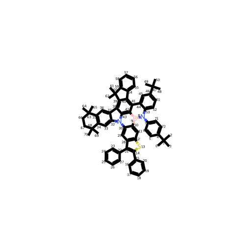 CC(C)(C)c1ccc(N2B3c4cc5sc(-c6ccccc6)c(-c6ccccc6)c5cc4-n4c5cc6c(cc5c5c7c(c(c3c54)-c3cc(C(C)(C)C)ccc32)-c2ccccc2C7(C)C)C(C)(C)CCC6(C)C)cc1